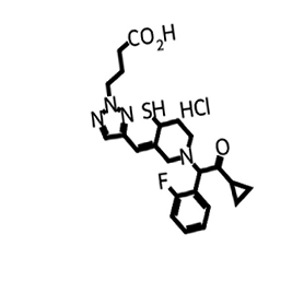 Cl.O=C(O)CCCn1ncc(/C=C2/CN(C(C(=O)C3CC3)c3ccccc3F)CCC2S)n1